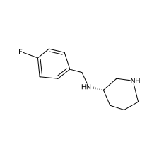 Fc1ccc(CN[C@H]2CCCNC2)cc1